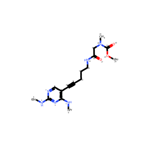 CCCNc1nc(NC(C)(C)C)ncc1C#CCCCNC(=O)CN(C)C(=O)OC(C)(C)C